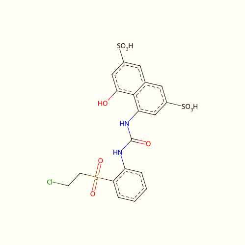 O=C(Nc1ccccc1S(=O)(=O)CCCl)Nc1cc(S(=O)(=O)O)cc2cc(S(=O)(=O)O)cc(O)c12